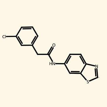 O=C(Cc1cccc(Cl)c1)Nc1ccc2n[c]sc2c1